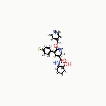 O=C(N[C@@H]1CCCC[C@H]1O)c1cnc(OCc2ccncc2)c(-c2ccc(F)cc2)c1